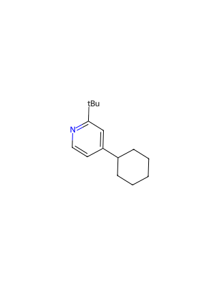 CC(C)(C)c1cc(C2CCCCC2)ccn1